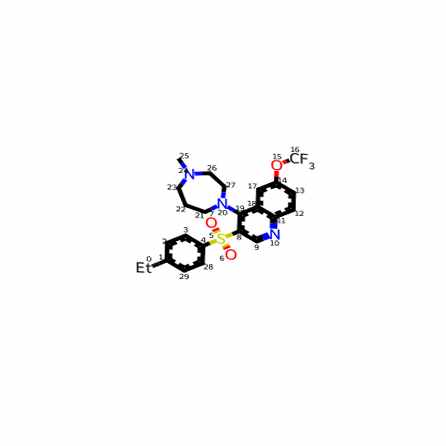 CCc1ccc(S(=O)(=O)c2cnc3ccc(OC(F)(F)F)cc3c2N2CCCN(C)CC2)cc1